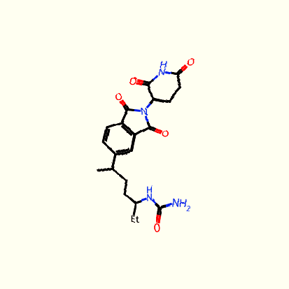 CCC(CCC(C)c1ccc2c(c1)C(=O)N(C1CCC(=O)NC1=O)C2=O)NC(N)=O